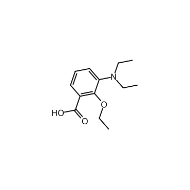 CCOc1c(C(=O)O)cccc1N(CC)CC